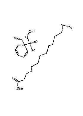 CC(=O)NC1([As](=O)(O)OO)C=CC=CC1.COC(=O)CCCCCCCCCCCSC(C)=O